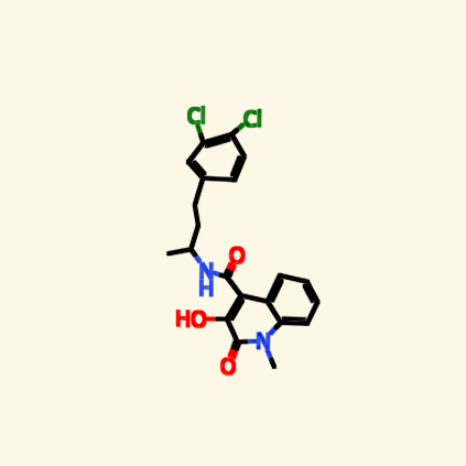 CC(CCc1ccc(Cl)c(Cl)c1)NC(=O)c1c(O)c(=O)n(C)c2ccccc12